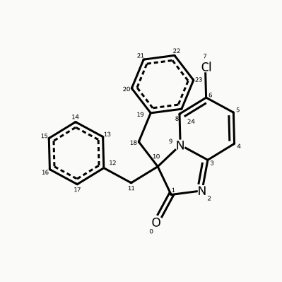 O=C1N=C2C=CC(Cl)=CN2C1(Cc1ccccc1)Cc1ccccc1